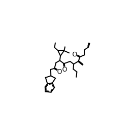 C=CCCC(=O)C(=C)C(CCC)CC(=O)C(CC(=O)CC1Cc2ccccc2C1)C1C(CC)C1(C)C